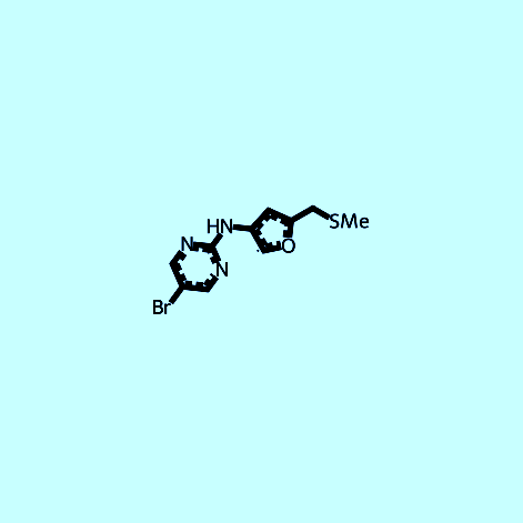 CSCc1cc(Nc2ncc(Br)cn2)[c]o1